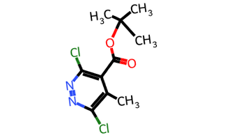 Cc1c(Cl)nnc(Cl)c1C(=O)OC(C)(C)C